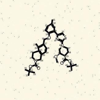 CO[C@H]1CN(c2nc(-c3cc(C)ccc3OCc3ccc4c(c3C)CCN(C(=O)OC(C)(C)C)C4)cs2)CC[C@H]1C(=O)OC(C)(C)C